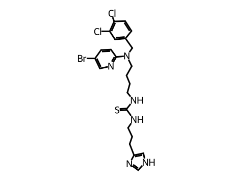 S=C(NCCCCN(Cc1ccc(Cl)c(Cl)c1)c1ccc(Br)cn1)NCCCc1c[nH]cn1